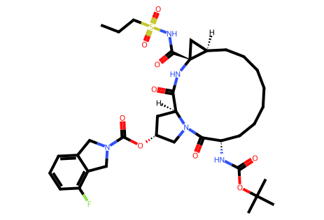 CCCS(=O)(=O)NC(=O)[C@@]12C[C@H]1CCCCCCC[C@H](NC(=O)OC(C)(C)C)C(=O)N1C[C@H](OC(=O)N3Cc4cccc(F)c4C3)C[C@H]1C(=O)N2